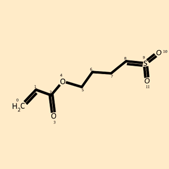 C=CC(=O)OCCCC=S(=O)=O